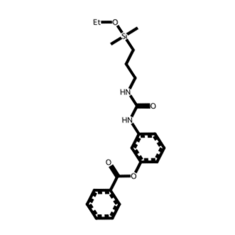 CCO[Si](C)(C)CCCNC(=O)Nc1cccc(OC(=O)c2ccccc2)c1